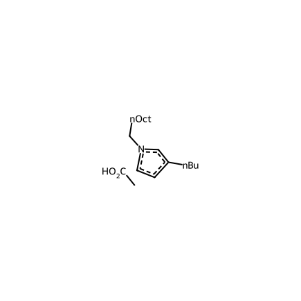 CC(=O)O.CCCCCCCCCn1ccc(CCCC)c1